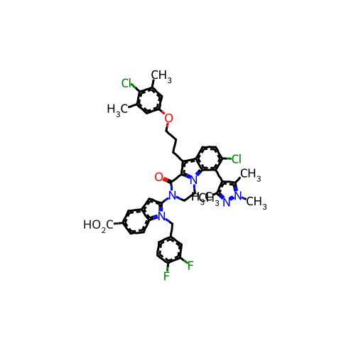 Cc1cc(OCCCc2c3n(c4c(-c5c(C)nn(C)c5C)c(Cl)ccc24)[C@H](C)CN(c2cc4cc(C(=O)O)ccc4n2Cc2ccc(F)c(F)c2)C3=O)cc(C)c1Cl